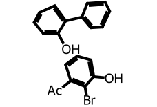 CC(=O)c1cccc(O)c1Br.Oc1ccccc1-c1ccccc1